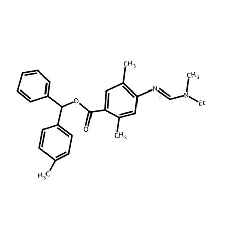 CCN(C)/C=N/c1cc(C)c(C(=O)OC(c2ccccc2)c2ccc(C)cc2)cc1C